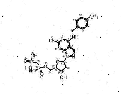 Cc1ccc(CNc2nc(Cl)nc3c2cnn3[C@H]2C[C@H](O)[C@@H](COP(=O)(O)CP(=O)(O)O)O2)cc1